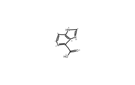 O=C(O)c1nccc2[nH]cnc12